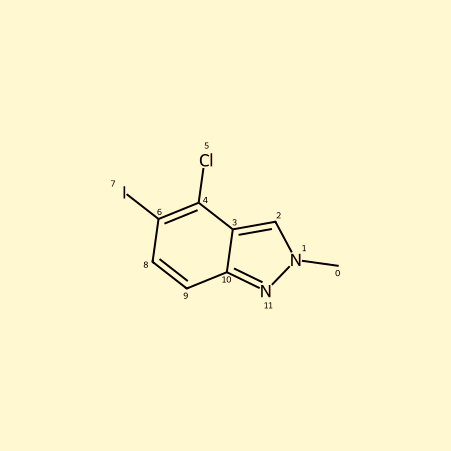 Cn1cc2c(Cl)c(I)ccc2n1